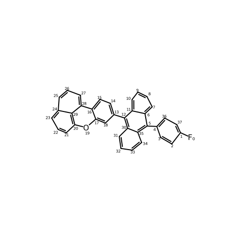 Fc1ccc(-c2c3ccccc3c(-c3ccc4c(c3)Oc3cccc5cccc-4c35)c3ccccc23)cc1